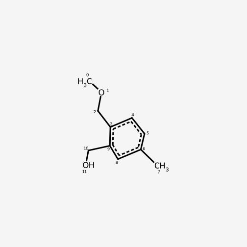 COCc1ccc(C)cc1CO